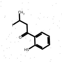 CC(I)CC(=O)c1ccccc1S